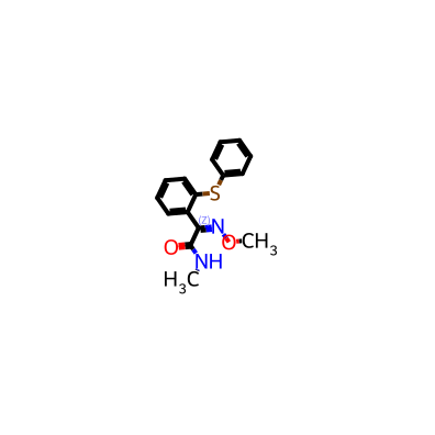 CNC(=O)/C(=N\OC)c1ccccc1Sc1ccccc1